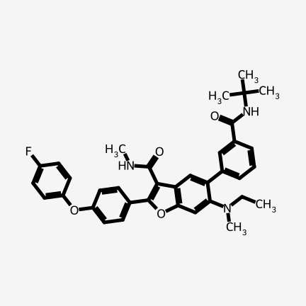 CCN(C)c1cc2oc(-c3ccc(Oc4ccc(F)cc4)cc3)c(C(=O)NC)c2cc1-c1cccc(C(=O)NC(C)(C)C)c1